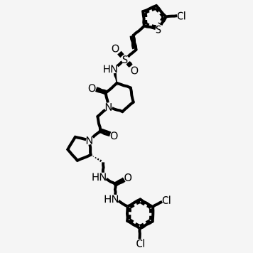 O=C(NC[C@@H]1CCCN1C(=O)CN1CCC[C@H](NS(=O)(=O)/C=C/c2ccc(Cl)s2)C1=O)Nc1cc(Cl)cc(Cl)c1